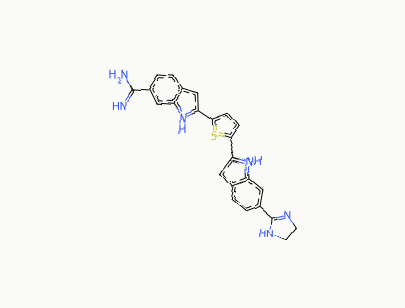 N=C(N)c1ccc2cc(-c3ccc(-c4cc5ccc(C6=NCCN6)cc5[nH]4)s3)[nH]c2c1